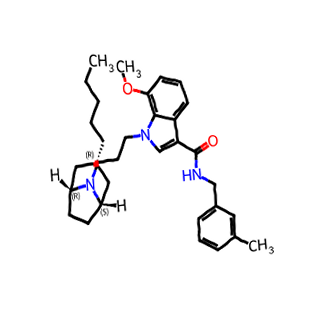 CCCCC[C@H]1C[C@H]2CC[C@@H](C1)N2CCCn1cc(C(=O)NCc2cccc(C)c2)c2cccc(OC)c21